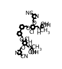 CC(CO)(CO)NCc1cc(Cl)c(OCc2cccc(-c3cccc(COc4cc(OCc5cncc(C#N)c5)c(CNC(C)(CO)CO)cc4Cl)c3)c2)cc1OCc1cncc(C#N)c1